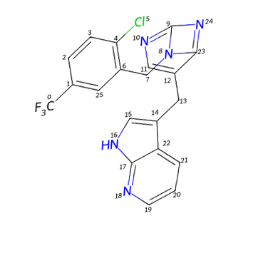 FC(F)(F)c1ccc(Cl)c(CN2C3=NC=C(Cc4c[nH]c5ncccc45)C2=N3)c1